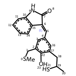 CSCc1cc(/C=C2/C(=O)Nc3ccccc32)cc(CC(C)S)c1O